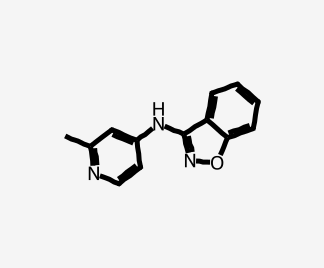 Cc1cc(Nc2noc3ccccc23)ccn1